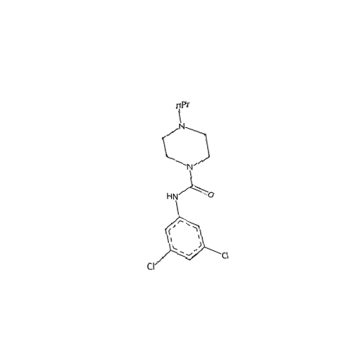 CCCN1CCN(C(=O)Nc2cc(Cl)cc(Cl)c2)CC1